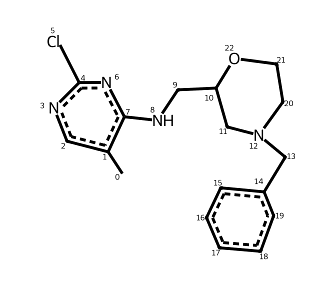 Cc1cnc(Cl)nc1NCC1CN(Cc2ccccc2)CCO1